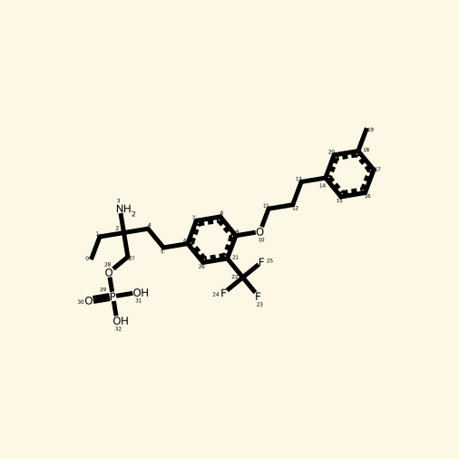 CCC(N)(CCc1ccc(OCCCc2cccc(C)c2)c(C(F)(F)F)c1)COP(=O)(O)O